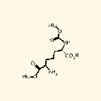 CC(C)(C)OC(=O)N[C@@H](CCCC(N)C(=O)OC(C)(C)C)C(=O)O